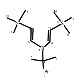 CC(C)C(C)(C)B(C=C[Si](C)(C)C)C=C[Si](C)(C)C